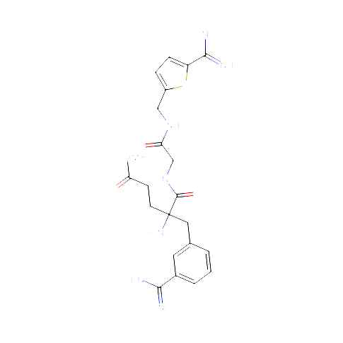 COC(=O)CCC(N)(Cc1cccc(C(=N)N)c1)C(=O)NCC(=O)NCc1ccc(C(=N)N)s1